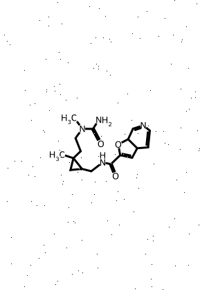 CN(CCC1(C)CC1CNC(=O)C1=CC2C=CN=CC2O1)C(N)=O